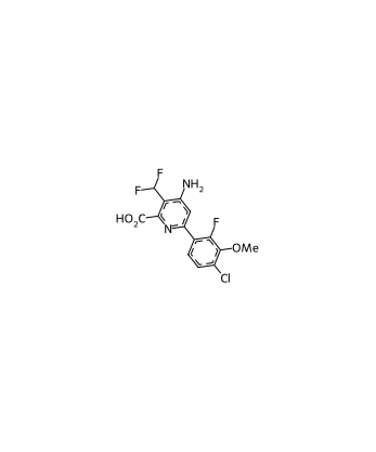 COc1c(Cl)ccc(-c2cc(N)c(C(F)F)c(C(=O)O)n2)c1F